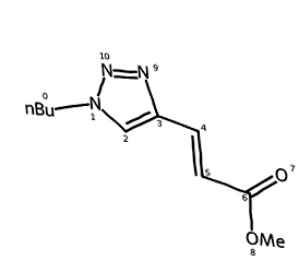 CCCCn1cc(C=CC(=O)OC)nn1